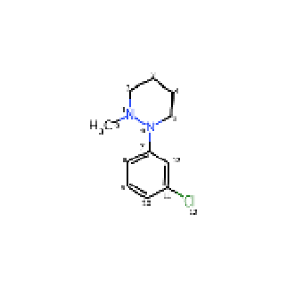 CN1CCCCN1c1cccc(Cl)c1